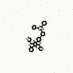 Cc1c2c(-c3cccnc3)nc3cc(-c4cccc(-c5nc(-c6ccccc6)nc(-c6ccccc6)n5)c4)ccc3c2c(C)c2c(-c3cccnc3)nc3ccccc3c12